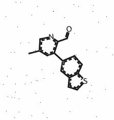 Cc1cnc(C=O)c(-c2ccc3sccc3c2)c1